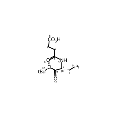 CC(C)C[C@@H](NC(=O)CCC(=O)O)C(=O)OC(C)(C)C